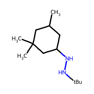 CC1CC(NNC(C)(C)C)CC(C)(C)C1